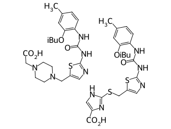 Cc1ccc(NC(=O)Nc2ncc(CN3CCN(CC(=O)O)CC3)s2)c(OCC(C)C)c1.Cc1ccc(NC(=O)Nc2ncc(CSc3nc(C(=O)O)c[nH]3)s2)c(OCC(C)C)c1